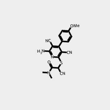 COc1ccc(-c2c(C#N)c(N)nc(SC(C#N)C(=O)N(C)C)c2C#N)cc1